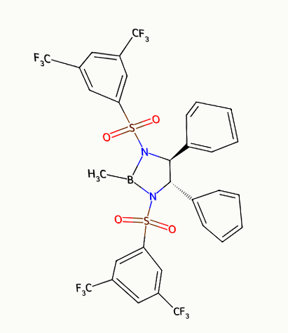 CB1N(S(=O)(=O)c2cc(C(F)(F)F)cc(C(F)(F)F)c2)[C@@H](c2ccccc2)[C@H](c2ccccc2)N1S(=O)(=O)c1cc(C(F)(F)F)cc(C(F)(F)F)c1